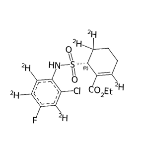 [2H]C1=C(C(=O)OCC)[C@H](S(=O)(=O)Nc2c([2H])c([2H])c(F)c([2H])c2Cl)C([2H])([2H])CC1